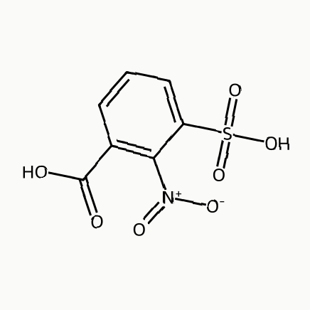 O=C(O)c1cccc(S(=O)(=O)O)c1[N+](=O)[O-]